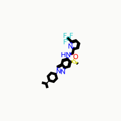 CSc1cc2nn([C@H]3CC[C@H](C(C)C)CC3)cc2cc1NC(=O)c1cccc(C(F)(F)F)n1